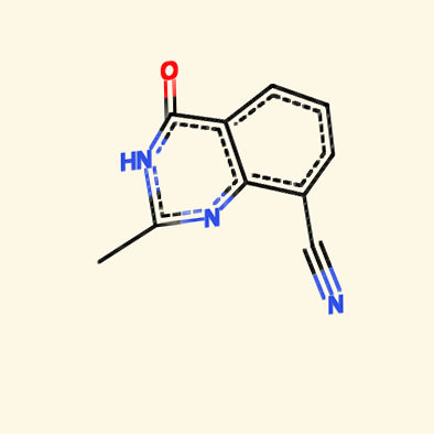 Cc1nc2c(C#N)cccc2c(=O)[nH]1